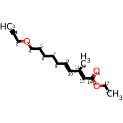 C#CCOCCCCC/C=C/C(C)=C/C(=O)OCC